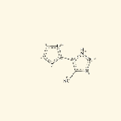 N#Cc1nn[nH]c1-c1ccco1